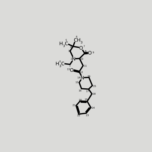 CCN1CC(C)(C)OC(=O)C1CC(=O)N1CCC(Cc2ccccc2)CC1